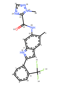 Cc1cc2cc(-c3ccccc3C(F)(F)F)[nH]c2cc1NC(=O)c1ncnn1C